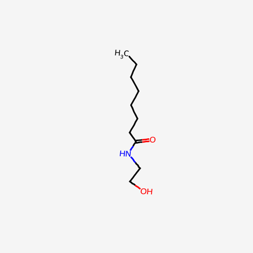 CCCCCCCC(=O)NCCO